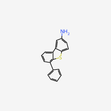 Nc1ccc2sc3c(-c4ccccc4)cccc3c2c1